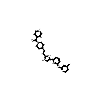 Cc1ccnc(Nc2cccc(-c3cnc(CCC4CCN(C(=O)c5ccncc5)CC4)s3)n2)c1